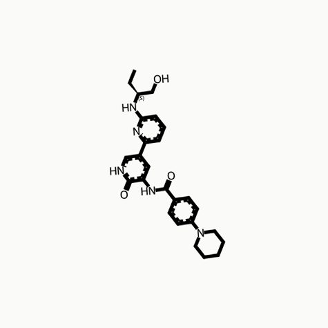 CC[C@@H](CO)Nc1cccc(-c2c[nH]c(=O)c(NC(=O)c3ccc(N4CCCCC4)cc3)c2)n1